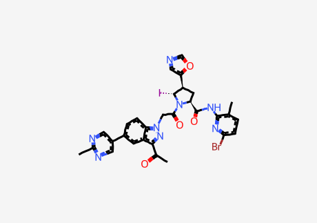 CC(=O)c1nn(CC(=O)N2[C@H](I)[C@@H](c3cnco3)C[C@H]2C(=O)Nc2nc(Br)ccc2C)c2ccc(-c3cnc(C)nc3)cc12